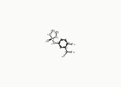 CCOP(=O)(OCC)Oc1ccc(F)c(C(F)F)c1